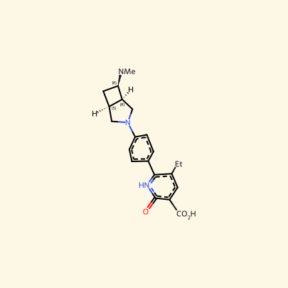 CCc1cc(C(=O)O)c(=O)[nH]c1-c1ccc(N2C[C@H]3C[C@@H](NC)[C@H]3C2)cc1